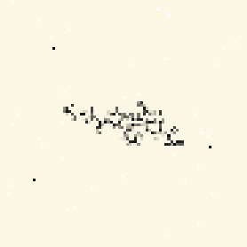 COC(=O)c1ccc2c(c1)NC(=O)/C2=C(\Nc1ccc(C(=O)NOCCN(C)C)cc1)c1ccccc1